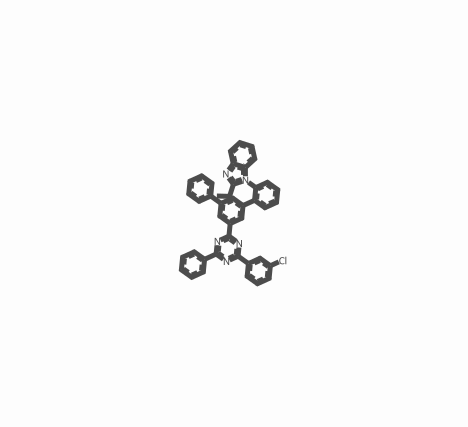 CCc1nc2ccccc2n1-c1ccccc1-c1cc(-c2ccccc2)cc(-c2nc(-c3ccccc3)nc(-c3cccc(Cl)c3)n2)c1